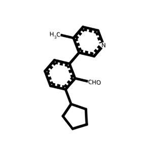 Cc1ccncc1-c1cccc(C2CCCC2)c1C=O